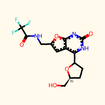 O=C(NCc1cc2c(C3CC[C@@H](CO)O3)[nH]c(=O)nc2o1)C(F)(F)F